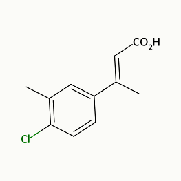 CC(=CC(=O)O)c1ccc(Cl)c(C)c1